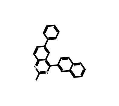 Cc1nc(-c2ccc3ccccc3c2)c2cc(-c3ccccc3)ccc2n1